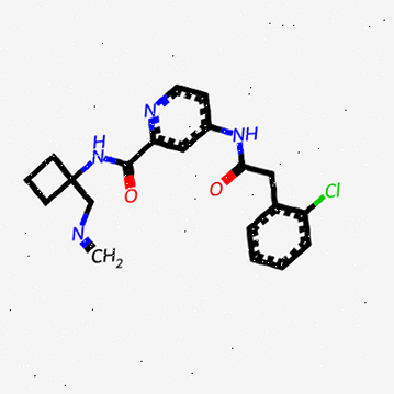 C=NCC1(NC(=O)c2cc(NC(=O)Cc3ccccc3Cl)ccn2)CCC1